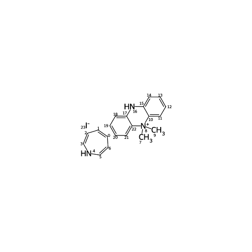 C1=CC=CNC=C1.C[N+]1(C)c2ccccc2Nc2ccccc21.[I-]